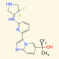 C[C@@](O)(c1ccc2ncc(-c3cccc(N[C@H]4CNCC4(F)F)n3)n2c1)C(F)(F)F